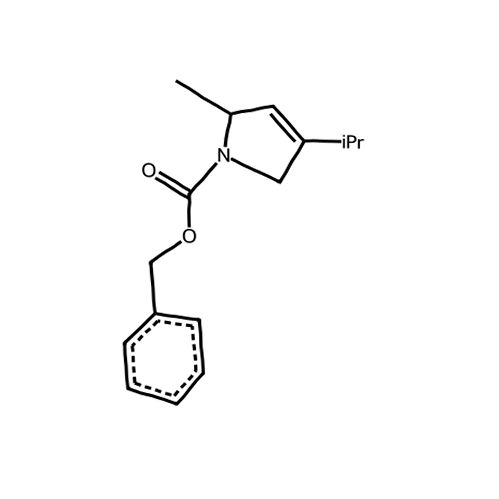 CC(C)C1=CC(C)N(C(=O)OCc2ccccc2)C1